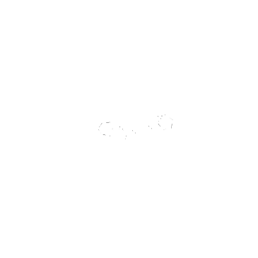 O=C(N1CCN(c2ccccn2)CC1)N1CCc2cc(Cl)ccc21